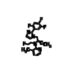 C=C=C(Cn1ccnc1-c1cc(F)c(F)cc1F)N(CCF)c1ncccc1C